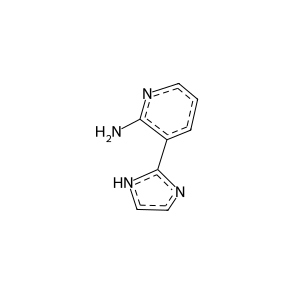 Nc1ncccc1-c1ncc[nH]1